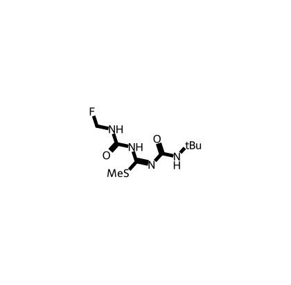 CSC(=NC(=O)NC(C)(C)C)NC(=O)NCF